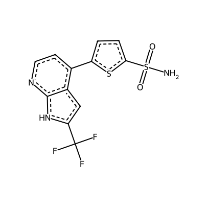 NS(=O)(=O)c1ccc(-c2ccnc3[nH]c(C(F)(F)F)cc23)s1